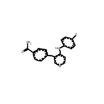 NC(=O)c1ccc(-c2cnccc2Nc2ccc(F)cc2)cc1